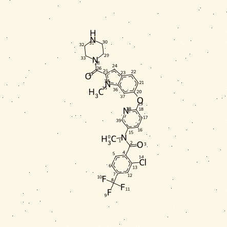 CN(C(=O)c1ccc(C(F)(F)F)cc1Cl)c1ccc(Oc2ccc3cc(C(=O)N4CCNCC4)n(C)c3c2)nc1